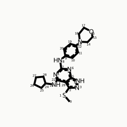 CSc1n[nH]c2nc(Nc3ccc(N4CCOCC4)cc3)nc(NC3CCCC3)c12